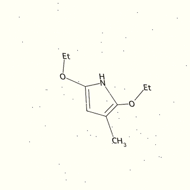 CCOc1cc(C)c(OCC)[nH]1